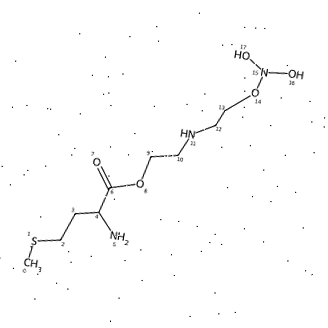 CSCCC(N)C(=O)OCCNCCON(O)O